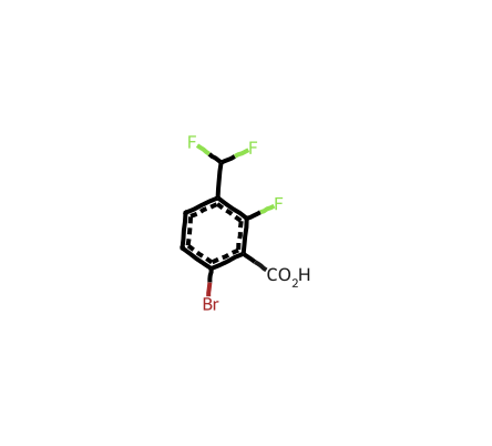 O=C(O)c1c(Br)ccc(C(F)F)c1F